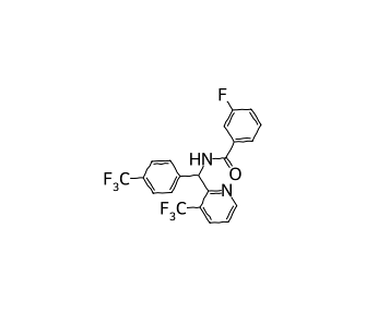 O=C(NC(c1ccc(C(F)(F)F)cc1)c1ncccc1C(F)(F)F)c1cccc(F)c1